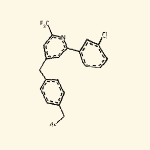 CC(=O)Cc1ccc(Cc2cc(-c3cccc(Cl)c3)nc(C(F)(F)F)c2)cc1